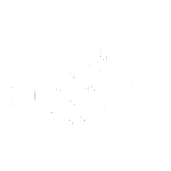 CC(C)(N)C(=O)N[C@H](COCc1ccccc1)c1nnc2n1CC(Cc1ccccc1)(C(=O)NCCO)CC2